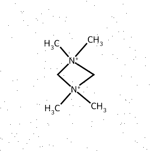 C[N+]1(C)C[N+](C)(C)C1